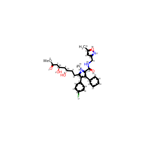 COC(=O)C[C@H](O)C[C@@H](O)CCc1c(-c2ccc(F)cc2)c(-c2ccccc2)c(C(=O)NCc2cc(C)on2)n1C(C)C